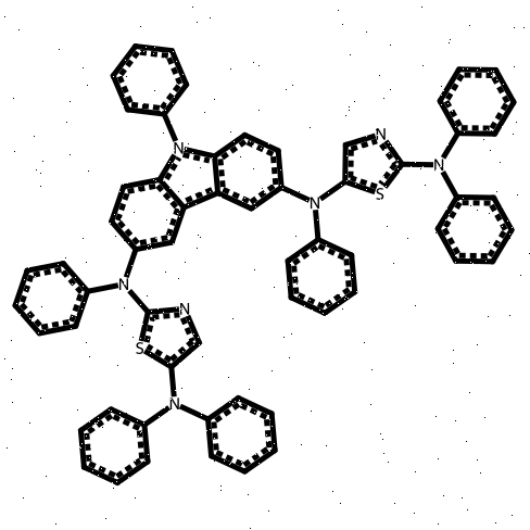 c1ccc(N(c2ccc3c(c2)c2cc(N(c4ccccc4)c4ncc(N(c5ccccc5)c5ccccc5)s4)ccc2n3-c2ccccc2)c2cnc(N(c3ccccc3)c3ccccc3)s2)cc1